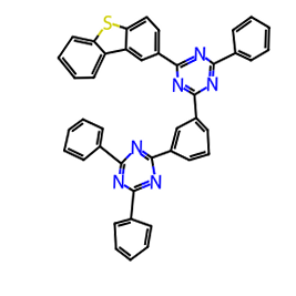 c1ccc(-c2nc(-c3ccccc3)nc(-c3cccc(-c4nc(-c5ccccc5)nc(-c5ccc6sc7ccccc7c6c5)n4)c3)n2)cc1